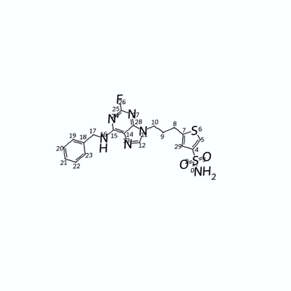 NS(=O)(=O)c1csc(CCCn2cnc3c(NCc4ccccc4)nc(F)nc32)c1